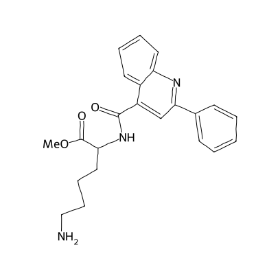 COC(=O)C(CCCCN)NC(=O)c1cc(-c2ccccc2)nc2ccccc12